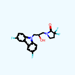 O=C1N(CC(O)Cn2c3ccc(F)cc3c3cc(F)ccc32)CCC1(F)F